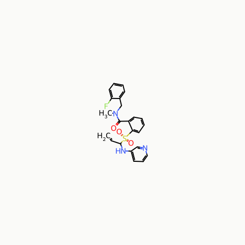 C=CC(Nc1cccnc1)S(=O)(=O)c1ccccc1C(=O)N(C)Cc1ccccc1F